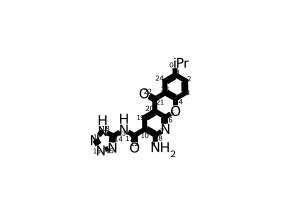 CC(C)c1ccc2oc3nc(N)c(C(=O)Nc4nnn[nH]4)cc3c(=O)c2c1